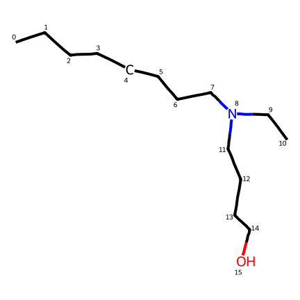 CCCCCCCCN(CC)CCCCO